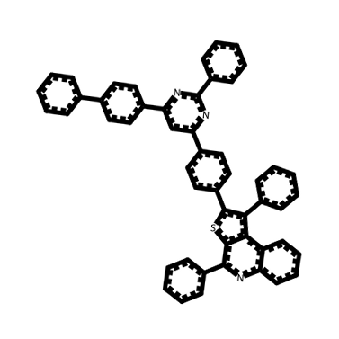 c1ccc(-c2ccc(-c3cc(-c4ccc(-c5sc6c(-c7ccccc7)nc7ccccc7c6c5-c5ccccc5)cc4)nc(-c4ccccc4)n3)cc2)cc1